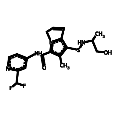 Cc1c(SNC(C)CO)c2n(c1C(=O)Nc1ccnc(C(F)F)c1)CC=C2